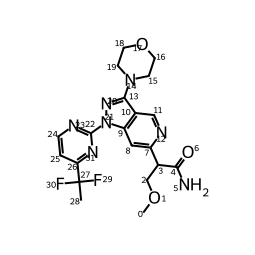 COCC(C(N)=O)c1cc2c(cn1)c(N1CCOCC1)nn2-c1nccc(C(C)(F)F)n1